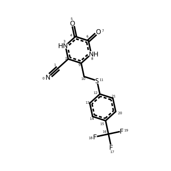 N#Cc1[nH]c(=O)c(=O)[nH]c1CSc1ccc(C(F)(F)F)cc1